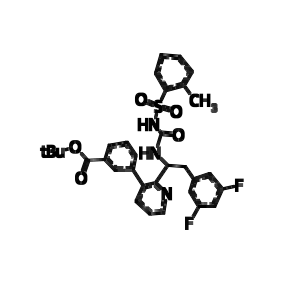 Cc1ccccc1S(=O)(=O)NC(=O)NC(Cc1cc(F)cc(F)c1)c1ncccc1-c1cccc(C(=O)OC(C)(C)C)c1